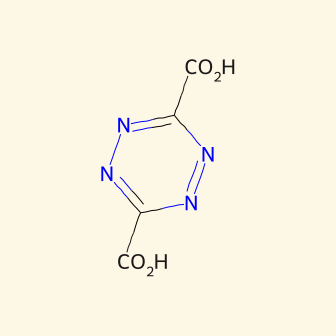 O=C(O)c1nnc(C(=O)O)nn1